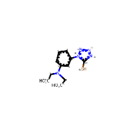 O=C(O)CN(CC(=O)O)c1cccc(-n2nnnc2S)c1